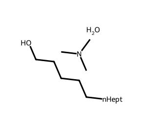 CCCCCCCCCCCCO.CN(C)C.O